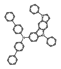 c1ccc(-c2ccc(N(c3ccc(-c4ccccc4)cc3)c3ccc4c(c3)c3cc5c(ccn5-c5ccccc5)cc3n4-c3ccccc3)cc2)cc1